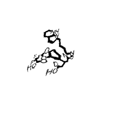 O=C(O)C(F)(F)F.O=C(O)CC(Cc1nc(CCCc2ccc3c(n2)NCCC3)no1)c1ccc2c(c1)OCO2